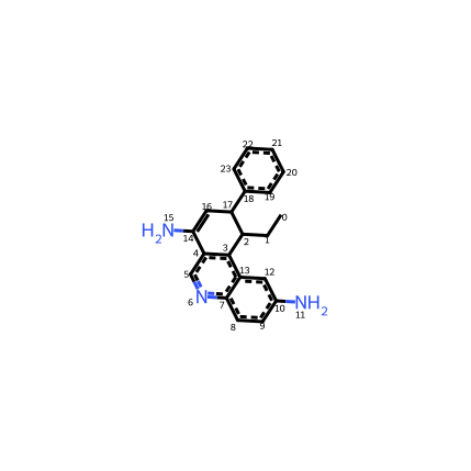 CCC1c2c(cnc3ccc(N)cc23)C(N)=CC1c1ccccc1